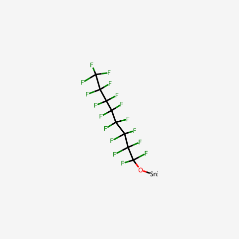 FC(F)(F)C(F)(F)C(F)(F)C(F)(F)C(F)(F)C(F)(F)C(F)(F)C(F)(F)[O][Sn]